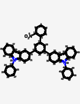 O=[N+]([O-])c1ccccc1-c1cc(-c2ccc3c(c2)c2ccccc2n3-c2ccccc2)cc(-c2ccc3c(c2)c2ccccc2n3-c2ccccc2)c1